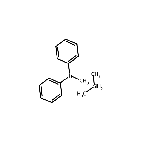 C[SiH2]C.[CH3][Ti]([c]1ccccc1)[c]1ccccc1